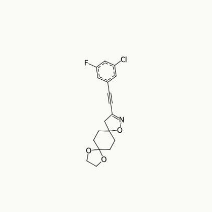 Fc1cc(Cl)cc(C#CC2=NOC3(CCC4(CC3)OCCO4)C2)c1